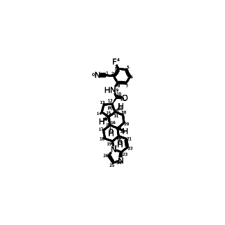 N#Cc1c(F)cccc1NC(=O)[C@@H]1CC[C@H]2[C@@H]3CCC4[C@H](C=Cc5nccn54)[C@H]3CC[C@@H]21